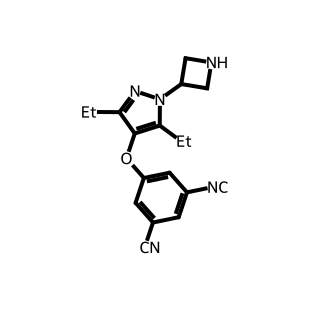 [C-]#[N+]c1cc(C#N)cc(Oc2c(CC)nn(C3CNC3)c2CC)c1